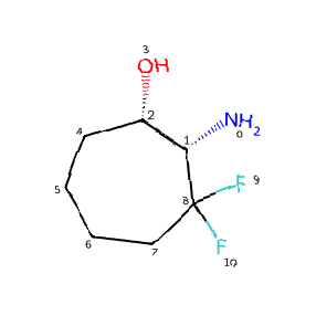 N[C@H]1[C@@H](O)CCCCC1(F)F